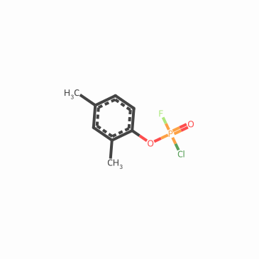 Cc1ccc(OP(=O)(F)Cl)c(C)c1